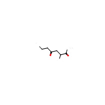 COC(=O)C(C)CC(=O)CCC(=O)O